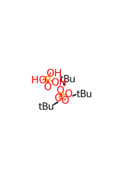 CC(C)(C)COP(=O)(OCC(C)(C)C)OCC(C)(C)C.O=P(O)(O)O